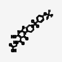 O=C(O)CNC(=O)c1c(O)nc2sc3c(n2c1=O)CCN(S(=O)(=O)c1ccc(OC(F)(F)F)cc1)C3